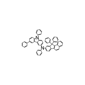 c1ccc(-c2ccc3c(c2)c2cc(N(c4ccccc4)c4ccc5c(c4)C(c4ccccc4)(c4ccccc4)c4c-5ccc5ccccc45)ccc2n3-c2ccccc2)cc1